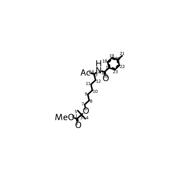 COC(=O)C(C)(C)OCCCCCCC(NC(=O)c1ccc(C)cc1)C(C)=O